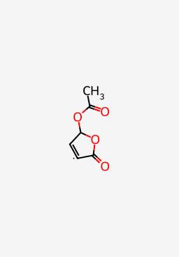 CC(=O)OC1C=[C]C(=O)O1